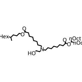 CCCCCCCCC(CCCCCCCC)OC(=O)CCCCCCCN(CCO)CCCCCCCC(=O)OCCCC(C)CCCCCC